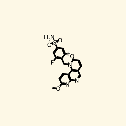 COc1ccc2c(ncc3ccc(=O)n(Cc4c(F)cc(S(N)(=O)=O)cc4F)c32)n1